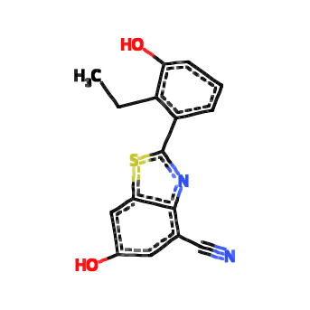 CCc1c(O)cccc1-c1nc2c(C#N)cc(O)cc2s1